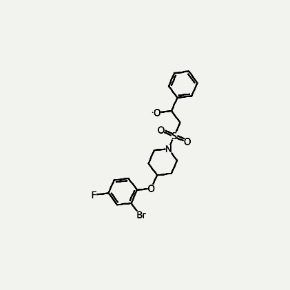 [O]C(CS(=O)(=O)N1CCC(Oc2ccc(F)cc2Br)CC1)c1ccccc1